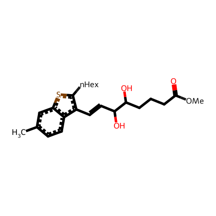 CCCCCCc1sc2cc(C)ccc2c1/C=C/C(O)C(O)CCCC(=O)OC